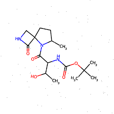 CC(O)C(NC(=O)OC(C)(C)C)C(=O)N1C(C)CCC12CNC2=O